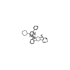 C1#CC2=C(C=CC1)C1CC3c4ccccc4N(c4nc(-c5ccccc5)cc(C5CCCCCC5)n4)C3CC1S2